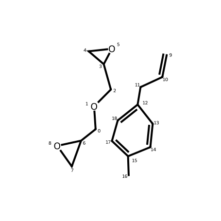 C(OCC1CO1)C1CO1.C=CCc1ccc(C)cc1